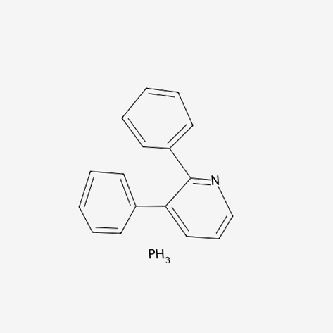 P.c1ccc(-c2cccnc2-c2ccccc2)cc1